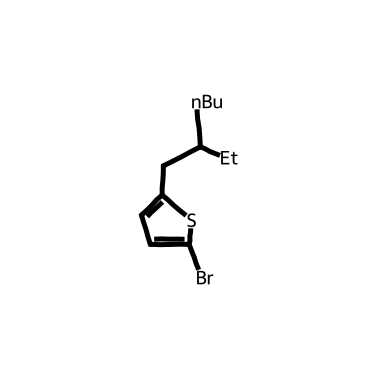 CCCCC(CC)Cc1ccc(Br)s1